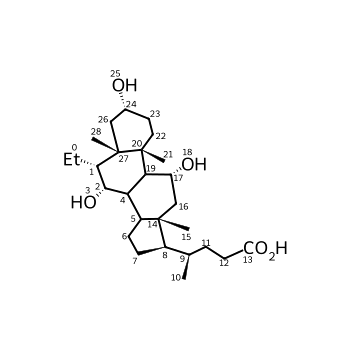 CC[C@H]1[C@@H](O)C2C3CC[C@H]([C@H](C)CCC(=O)O)[C@@]3(C)C[C@@H](O)C2[C@@]2(C)CC[C@@H](O)C[C@@]12C